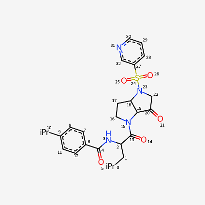 CC(C)CC(NC(=O)c1ccc(C(C)C)cc1)C(=O)N1CCC2C1C(=O)CN2S(=O)(=O)c1cccnc1